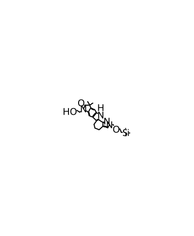 CC1(C)C(=O)N(CCO)c2cc3c4c([nH]c3cc21)-c1nn(COCC[Si](C)(C)C)cc1CCC4